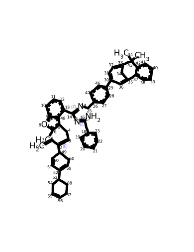 C=C/C(=C\Cc1c(C)oc2cccc(C(/N=C(\N)c3ccccc3)=N/Cc3ccc(C4=CC=C5CC(=C4)c4ccccc4C5(C)C)cc3)c12)C1C=CC(C2CC=CCC2)=CC1